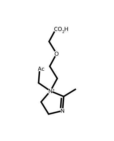 CC(=O)C[N+]1(CCOCC(=O)O)CCN=C1C